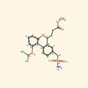 COC(=O)CCC1Oc2cccc(OC(F)F)c2-c2ccc(CS(N)(=O)=O)cc21